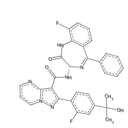 CC(C)(O)c1ccc(-c2nn3cccnc3c2C(=O)N[C@H]2N=C(c3ccccc3)c3cccc(F)c3NC2=O)c(F)c1